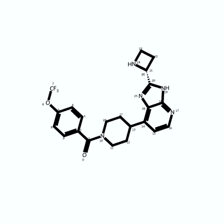 O=C(c1ccc(OC(F)(F)F)cc1)N1CCC(c2ccnc3[nH]c([C@H]4CCN4)nc23)CC1